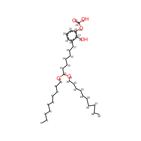 CCCCCCCCCCOC(CCCCCCc1cccc(OC(=O)O)c1O)OCCCCCCCCCC